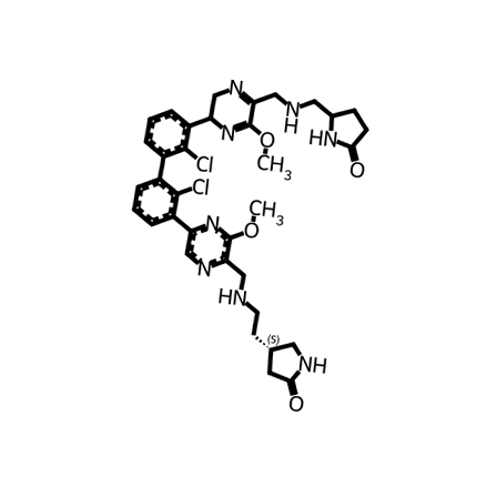 COC1=NC(c2cccc(-c3cccc(-c4cnc(CNCC[C@@H]5CNC(=O)C5)c(OC)n4)c3Cl)c2Cl)CN=C1CNCC1CCC(=O)N1